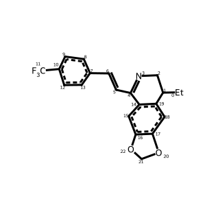 CCC1CN=C(C=Cc2ccc(C(F)(F)F)cc2)c2cc3c(cc21)OCO3